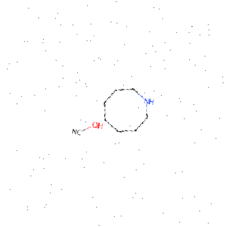 C1CCCNCCC1.N#CO